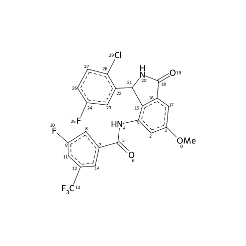 COc1cc(NC(=O)c2cc(F)cc(C(F)(F)F)c2)c2c(c1)C(=O)NC2c1cc(F)ccc1Cl